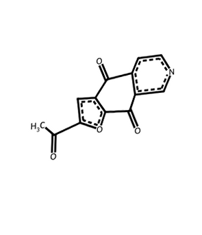 CC(=O)c1cc2c(o1)C(=O)c1cnccc1C2=O